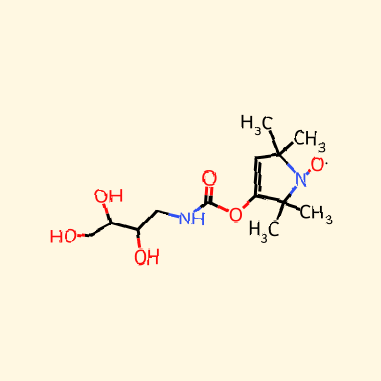 CC1(C)C=C(OC(=O)NCC(O)C(O)CO)C(C)(C)N1[O]